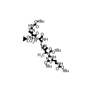 CC(c1cnn(C[C@H]2NC(=O)[C@H]2NC(=O)C(=NOC2(C(=O)O)CC2)c2csc(NC(=O)OC(C)(C)C)n2)n1)N(C(=O)OC(C)(C)C)C(=NC(=O)OC(C)(C)C)NCCCNC(=O)OC(C)(C)C